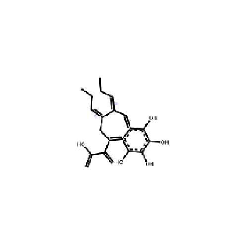 C=C(O)C(=C)C1=c2c(O)c(O)c(O)c(O)c2=CC(=C/CC)/C(=C\CC)C1